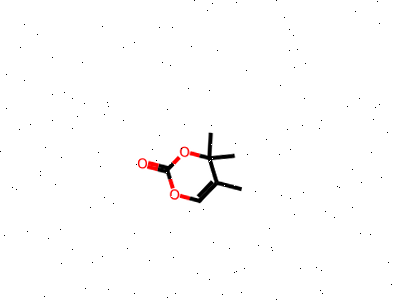 CC1=COC(=O)OC1(C)C